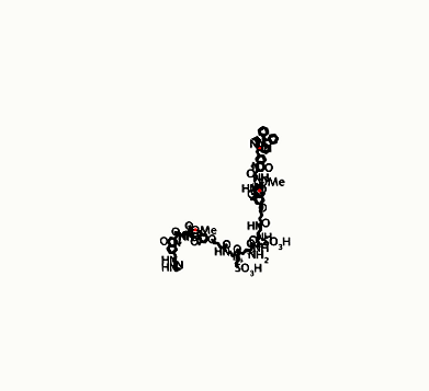 COC(=O)[C@H](CNC(=O)C1CC(=O)c2ccc(CNc3ncc[nH]3)cc2N1C)NS(=O)(=O)c1c(C)cc(OCCCC(=O)NCCN(C(=O)CC[C@H](N)C(=O)N[C@@H](CS(=O)(=O)O)C(=O)NCCNC(=O)CCCOc2cc(C)c(S(=O)(=O)N[C@@H](CNC(=O)C3CC(=O)c4ccc(CNc5nccn5C(c5ccccc5)(c5ccccc5)c5ccccc5)cc4N3C)C(=O)OC)c(C)c2)[C@H](C)CS(=O)(=O)O)cc1C